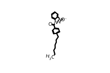 CCCCCCCCc1ccc(C(=O)n2n[n+]([O-])c3ccccc32)cc1